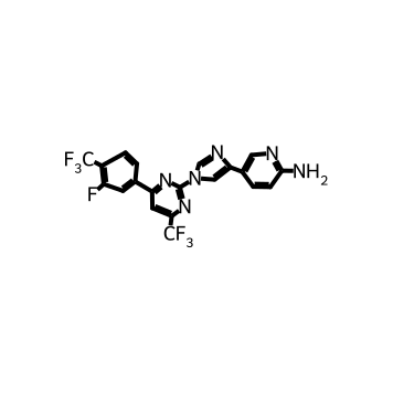 Nc1ccc(-c2cn(-c3nc(-c4ccc(C(F)(F)F)c(F)c4)cc(C(F)(F)F)n3)cn2)cn1